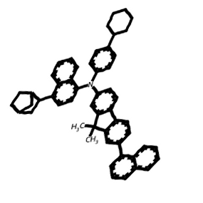 CC1(C)c2cc(-c3cccc4ccccc34)ccc2-c2ccc(N(c3ccc(C4CCCCC4)cc3)c3ccc(C4CC5CCC4C5)c4ccccc34)cc21